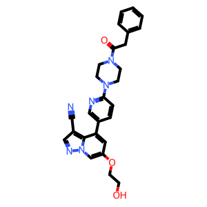 N#Cc1cnn2cc(OCCO)cc(-c3ccc(N4CCN(C(=O)Cc5ccccc5)CC4)nc3)c12